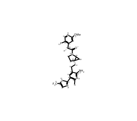 COc1cc([C@@H](C)C(=O)N2CC[C@]3(CCc4cc(-c5ncc(C(F)(F)F)s5)c(C)nc4N)CC23)c(F)cn1